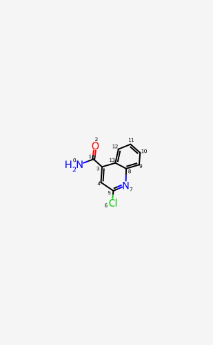 NC(=O)c1cc(Cl)nc2ccccc12